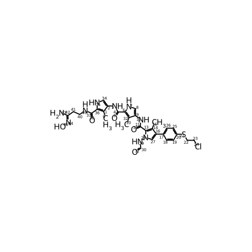 Cc1c(NC(=O)c2[nH]cc(NC(=O)c3c(C)c(-c4ccc(SCCCl)cc4)cn3NC=O)c2C)c[nH]c1C(=O)NCCC(N)=NO